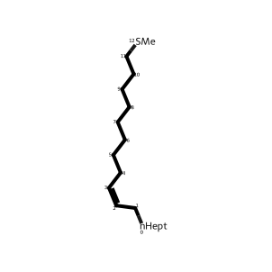 CCCCCCCC/C=C\CCCCCCCCSC